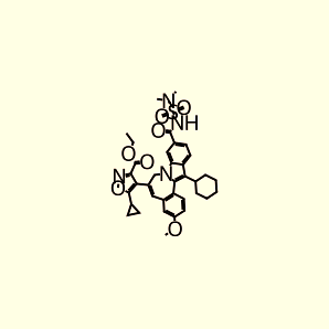 CCOC(=O)c1noc(C2CC2)c1C1=Cc2cc(OC)ccc2-c2c(C3CCCCC3)c3ccc(C(=O)NS(=O)(=O)N(C)C)cc3n2C1